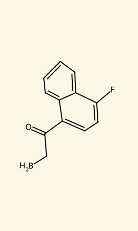 BCC(=O)c1ccc(F)c2ccccc12